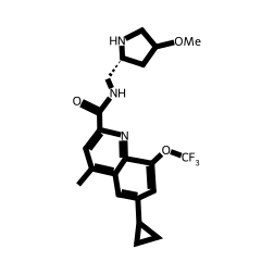 COC1CN[C@@H](CNC(=O)c2cc(C)c3cc(C4CC4)cc(OC(F)(F)F)c3n2)C1